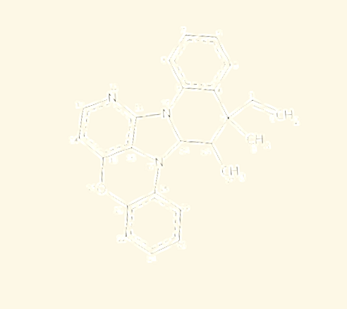 C=CC1(C)c2ccccc2N2c3nccc4c3N(c3ccccc3O4)C2C1C